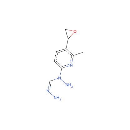 Cc1nc(N(N)/C=N\N)ccc1C1CO1